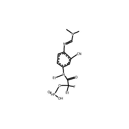 CCN(C(=O)C(F)(CC)O[PH](=O)O)c1ccc(N=CN(C)C)c(C#N)c1